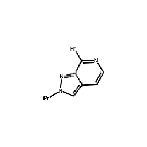 CC(C)c1nccc2cn(C(C)C)nc12